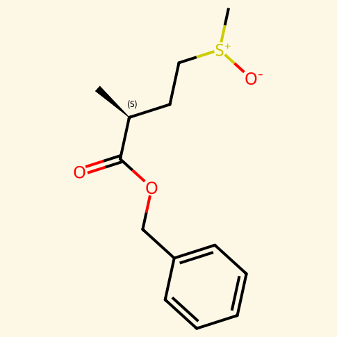 C[C@@H](CC[S+](C)[O-])C(=O)OCc1ccccc1